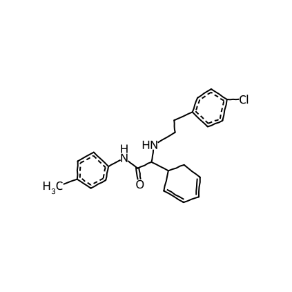 Cc1ccc(NC(=O)C(NCCc2ccc(Cl)cc2)C2C=CC=CC2)cc1